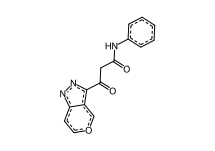 O=C(CC(=O)c1nnc2ccocc1-2)Nc1ccccc1